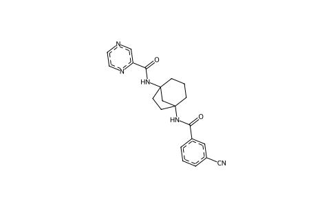 N#Cc1cccc(C(=O)NC23CCCC(NC(=O)c4cnccn4)(CC2)C3)c1